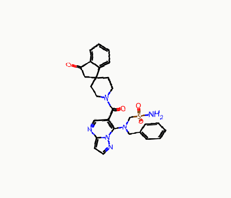 NS(=O)(=O)CN(Cc1ccccc1)c1c(C(=O)N2CCC3(CC2)CC(=O)c2ccccc23)cnc2ccnn12